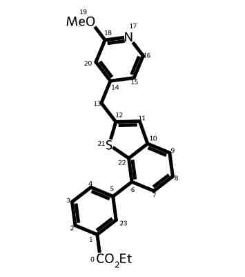 CCOC(=O)c1cccc(-c2cccc3cc(Cc4ccnc(OC)c4)sc23)c1